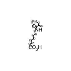 C=C(CC(C)C)C(=O)NCCCCCCCC(=O)O